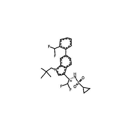 CC(C)(C)Cn1cc([C@H](NS(=O)(=O)C2CC2)C(F)F)c2ccc(-c3ccccc3C(F)F)cc21